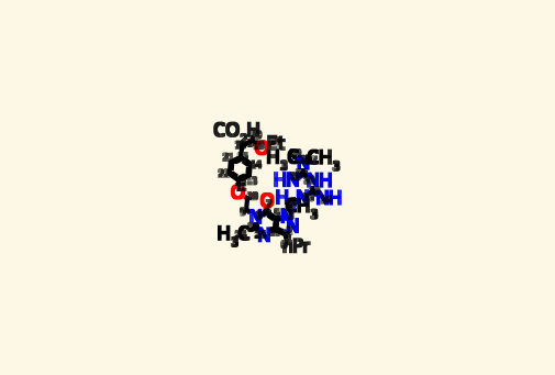 CCCc1nn(C)c2c(=O)n(CCOc3ccc(CC(OCC)C(=O)O)cc3)c(C)nc12.CN(C)C(=N)NC(=N)N